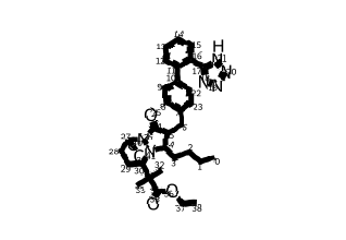 CCCCC1C(Cc2ccc(-c3ccccc3-c3nnn[nH]3)cc2)C(=O)N2C3CCC(C(C)(C)C(=O)OCC)(CC3)N12